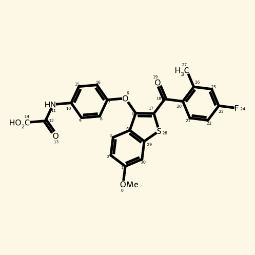 COc1ccc2c(Oc3ccc(NC(=O)C(=O)O)cc3)c(C(=O)c3ccc(F)cc3C)sc2c1